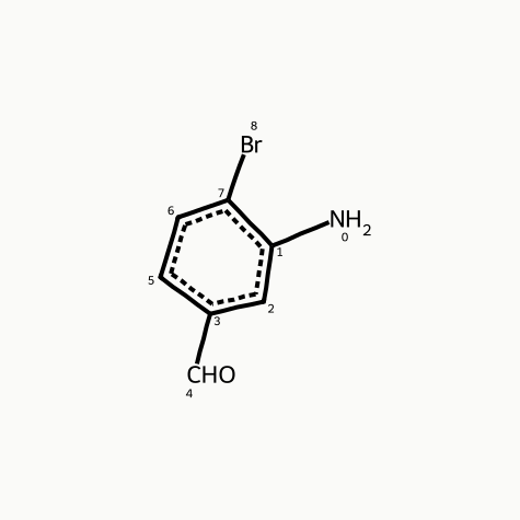 Nc1cc(C=O)ccc1Br